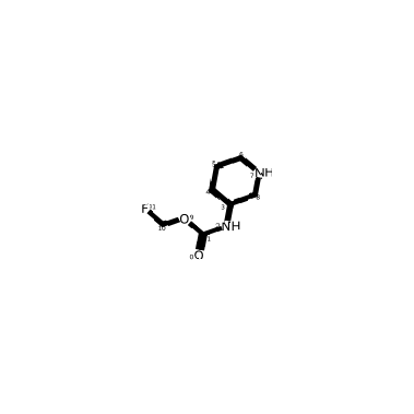 O=C(NC1CCCNC1)OCF